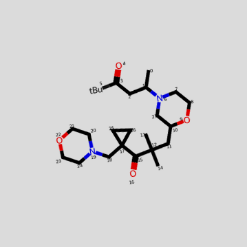 CC(CC(=O)C(C)(C)C)N1CCOC(CC(C)(C)C(=O)C2(CN3CCOCC3)CC2)C1